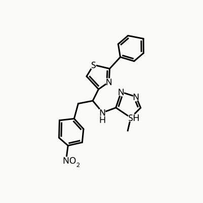 C[SH]1C=NN=C1NC(Cc1ccc([N+](=O)[O-])cc1)c1csc(-c2ccccc2)n1